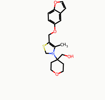 CC1=C(COc2ccc3occc3c2)SCN1C1(CO)CCOCC1